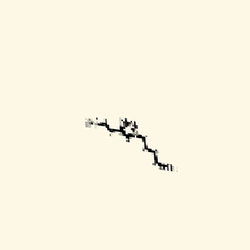 CC(C)CCc1cn(CCCCC(C)(C)C)nn1